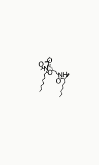 C#CC(CCCCCC)C(=O)NCCCC[C@@H](C(=C)OC)N(C(C)=O)C(=O)CCCCCCC